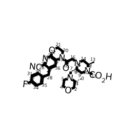 C[C@@H]1COCCN1C[C@H]1CN(C(=O)O)[C@H](C)CN1CC(=O)N1CCOc2nc(C#N)c(Cc3ccc(F)cc3)cc21